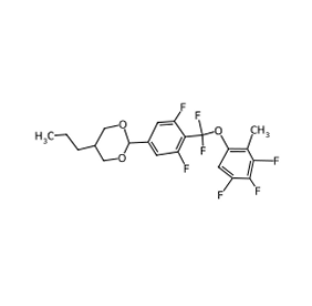 CCCC1COC(c2cc(F)c(C(F)(F)Oc3cc(F)c(F)c(F)c3C)c(F)c2)OC1